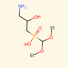 CCOC(OCC)P(=O)(O)CC(O)CN